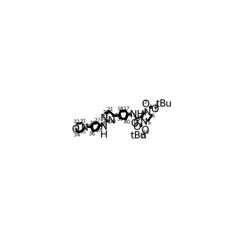 CC(C)(C)OC(=O)N1CCN(C(=O)OC(C)(C)C)[C@@H](C(=O)Nc2ccc(-c3ccnc(Nc4ccc(N5CCOCC5)cc4)n3)cc2)C1